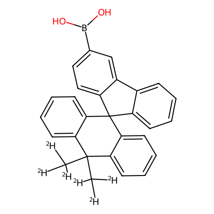 [2H]C([2H])([2H])C1(C([2H])([2H])[2H])c2ccccc2C2(c3ccccc3-c3cc(B(O)O)ccc32)c2ccccc21